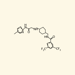 Cc1ccc(NC(=O)CNCC2CCC(CNC(=O)c3cc(C(F)(F)F)cc(C(F)(F)F)c3)CC2)nc1